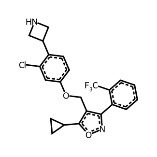 FC(F)(F)c1ccccc1-c1noc(C2CC2)c1COc1ccc(C2CNC2)c(Cl)c1